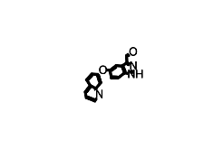 O=Cc1n[nH]c2ccc(Oc3ccc4cccnc4c3)cc12